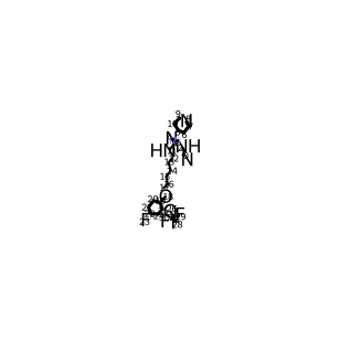 N#CN/C(=N\c1ccncc1)NCCCCCCOc1ccc(F)cc1OC(F)(F)F